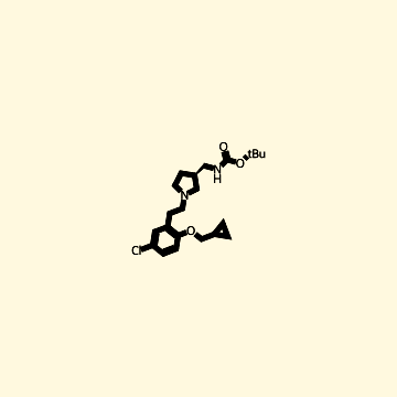 CC(C)(C)OC(=O)NC[C@@H]1CCN(CCc2cc(Cl)ccc2OCC2CC2)C1